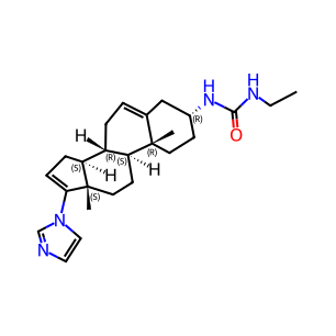 CCNC(=O)N[C@@H]1CC[C@@]2(C)C(=CC[C@@H]3[C@@H]2CC[C@]2(C)C(n4ccnc4)=CC[C@@H]32)C1